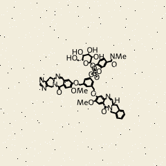 CNC(=O)c1ccc(O[C@@H]2O[C@H](CO)[C@H](O)[C@H](O)[C@H]2O)c(OS(=O)(=O)Oc2cc(COc3cc4c(cc3OC)C(=O)N3Cc5ncn(C)c5CC3N=C4)cc(COc3cc4c(cc3OC)C(=O)N3Cc5ccccc5C[C@H]3C=N4)c2)c1